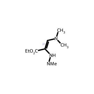 CCOC(=O)/C(=C/N(C)C)NNC